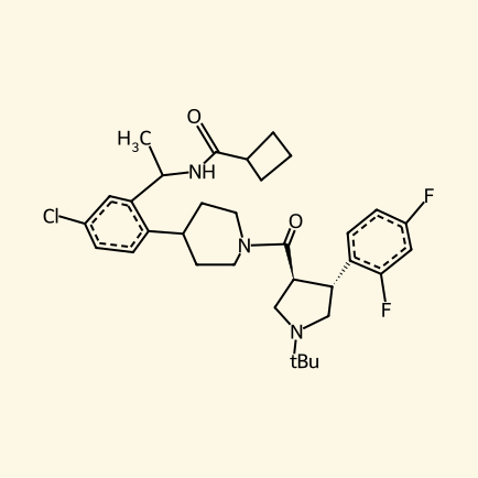 CC(NC(=O)C1CCC1)c1cc(Cl)ccc1C1CCN(C(=O)[C@@H]2CN(C(C)(C)C)C[C@H]2c2ccc(F)cc2F)CC1